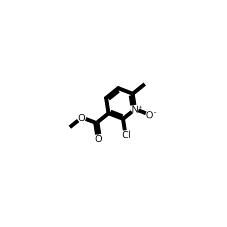 COC(=O)c1ccc(C)[n+]([O-])c1Cl